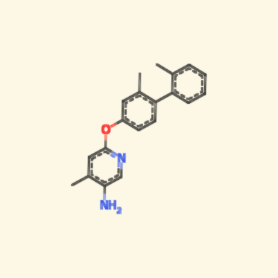 Cc1cc(Oc2ccc(-c3ccccc3C)c(C)c2)ncc1N